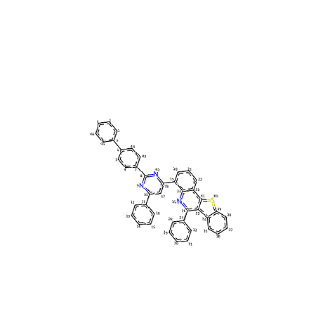 c1ccc(-c2ccc(-c3nc(-c4ccccc4)cc(-c4cccc5c4nc(-c4ccccc4)c4c6ccccc6sc54)n3)cc2)cc1